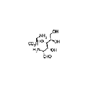 NCC(=O)O.N[C@@H](C=O)[C@@H](O)[C@H](O)[C@H](O)CO